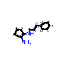 Nc1ccccc1NC/C=C/c1ccccc1